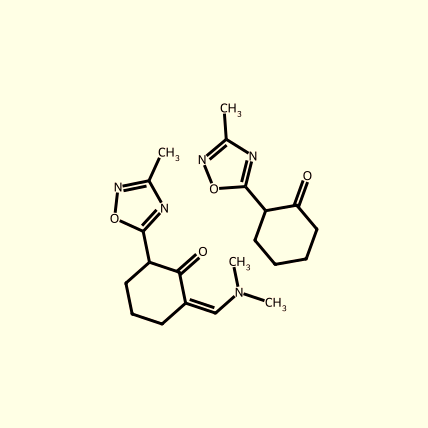 Cc1noc(C2CCC/C(=C/N(C)C)C2=O)n1.Cc1noc(C2CCCCC2=O)n1